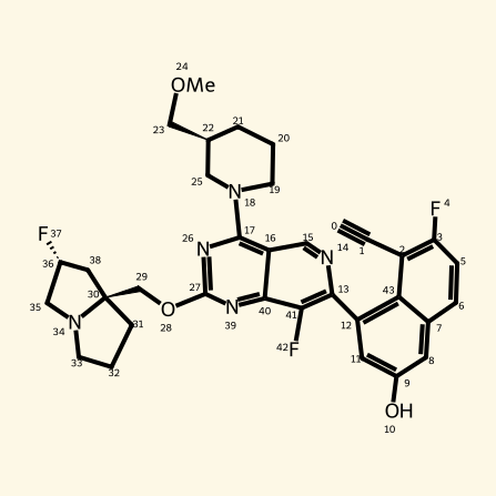 C#Cc1c(F)ccc2cc(O)cc(-c3ncc4c(N5CCC[C@H](COC)C5)nc(OC[C@@]56CCCN5C[C@H](F)C6)nc4c3F)c12